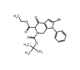 CCOC(=O)C1C(=O)c2cc(Br)n(-c3ccccc3)c2CN1C(=O)OC(C)(C)C